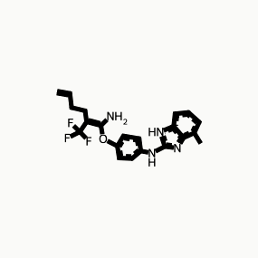 C=CCC/C(=C(\N)Oc1ccc(Nc2nc3c(C)cccc3[nH]2)cc1)C(F)(F)F